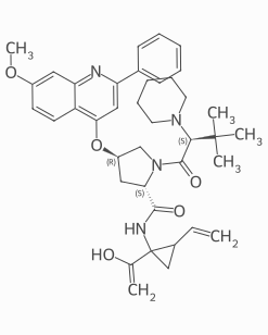 C=CC1CC1(NC(=O)[C@@H]1C[C@@H](Oc2cc(-c3ccccc3)nc3cc(OC)ccc23)CN1C(=O)[C@@H](N1CCCCC1)C(C)(C)C)C(=C)O